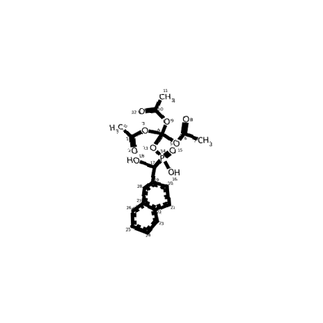 CC(=O)OC(OC(C)=O)(OC(C)=O)OP(=O)(O)C(O)c1ccc2ccccc2c1